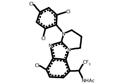 CC(=O)NC(c1ccc(Cl)c2nc3n(c12)CCCN3c1c(Cl)cc(Cl)cc1Cl)C(F)(F)F